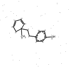 CC1(CCc2ccc(O)cc2)C=CC=CC1